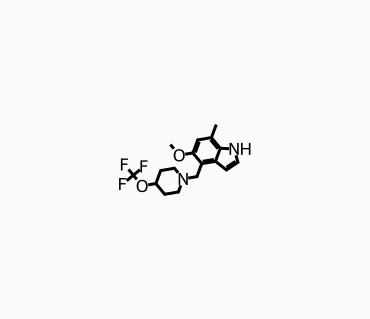 COc1cc(C)c2[nH]ccc2c1CN1CCC(OC(F)(F)F)CC1